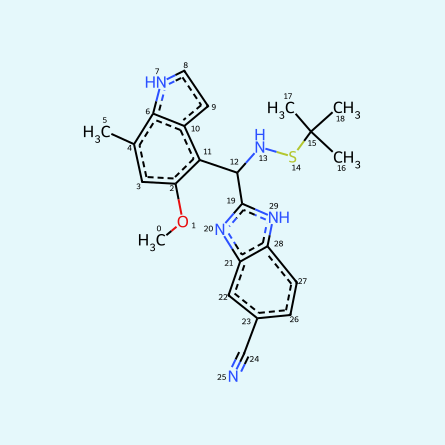 COc1cc(C)c2[nH]ccc2c1C(NSC(C)(C)C)c1nc2cc(C#N)ccc2[nH]1